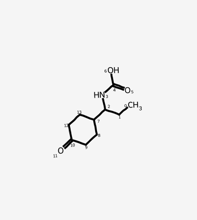 CCC(NC(=O)O)C1CCC(=O)CC1